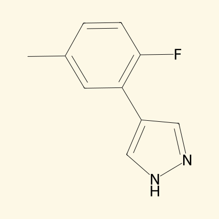 Cc1ccc(F)c(-c2cn[nH]c2)c1